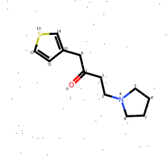 O=C(CCN1CCCC1)Cc1ccsc1